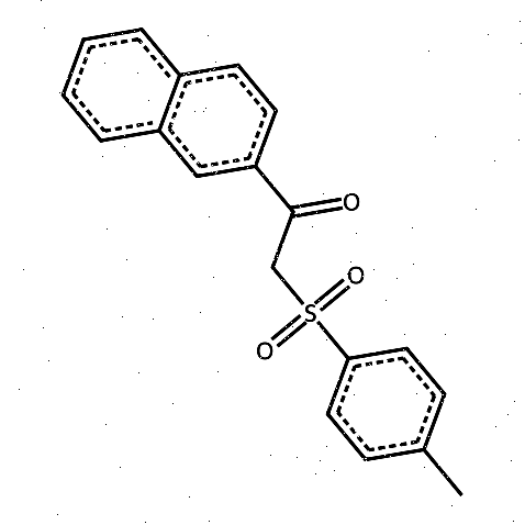 Cc1ccc(S(=O)(=O)CC(=O)c2ccc3ccccc3c2)cc1